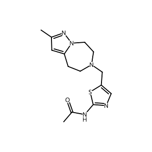 CC(=O)Nc1ncc(CN2CCc3cc(C)nn3CC2)s1